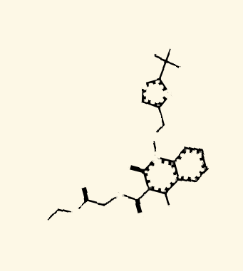 CCOC(=O)CNC(=O)c1c(O)c2ccccc2n(OCc2csc(C(F)(F)F)n2)c1=O